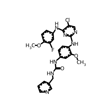 COc1ccc(Nc2nc(Nc3ccc(NC(=O)NCc4cccnc4)cc3OC)ncc2Cl)cc1F